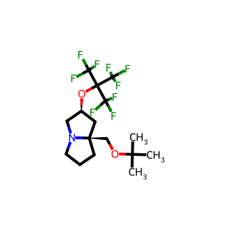 CC(C)(C)OC[C@@]12CCCN1C[C@@H](OC(C(F)(F)F)(C(F)(F)F)C(F)(F)F)C2